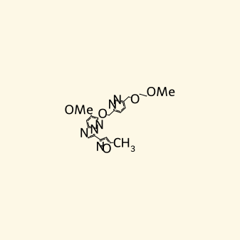 COCCOCc1ccc(COc2nn3c(-c4cc(C)on4)cnc3cc2OC)nn1